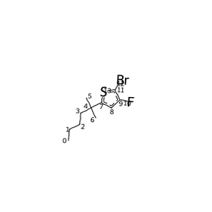 CCCCC(C)(C)c1cc(F)c(Br)s1